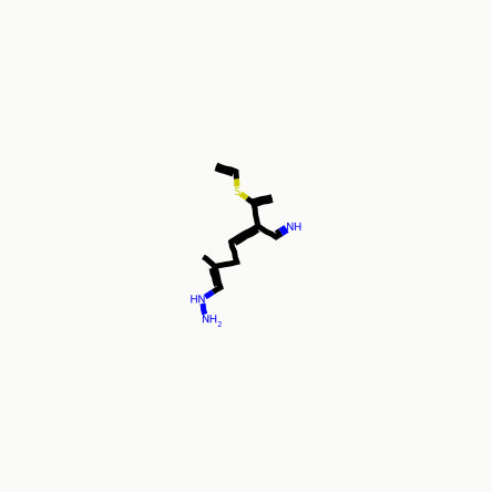 C=CSC(=C)/C(C=N)=C/C/C(C)=C/NN